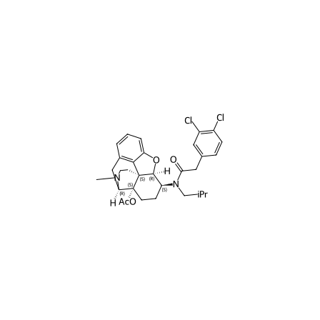 CC(=O)O[C@@]12CC[C@H](N(CC(C)C)C(=O)Cc3ccc(Cl)c(Cl)c3)[C@@H]3Oc4cccc5c4[C@@]31CCN(C)[C@@H]2C5